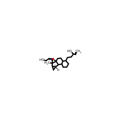 C=CC(O)CCC1CCCC2C1CCC1(C)C2[C@@H]2CC2C1(C)/C=C\CO